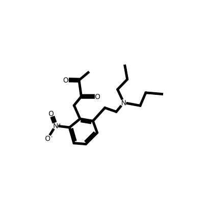 CCCN(CCC)CCc1cccc([N+](=O)[O-])c1CC(=O)C(C)=O